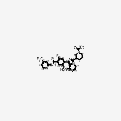 CCC(=O)N1CCCC(c2nc(-c3cc(F)c(C(=O)Nc4cc(C(F)(F)F)ccn4)cc3C)c3c(N)nccn23)C1